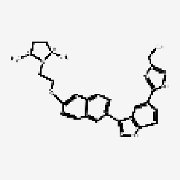 C[C@@H]1CC[C@H](C)N1CCOc1ccc2cc(-c3n[nH]c4ccc(-c5nc(CC(C)(C)C)n[nH]5)cc34)ccc2c1